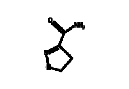 NC(=O)C1=N[N]CC1